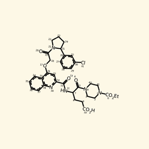 CCOC(=O)N1CCN(C(=O)C(CCC(=O)O)NC(=O)c2cc(OCC(=O)N3CCCC3c3cccc(Cl)c3)c3ccccc3n2)CC1